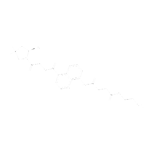 N#C[C@@H]1CC(F)(F)CN1C(=O)CNC(=O)c1ccnc2c(NC(=O)CCC(=O)NCCN)cccc12